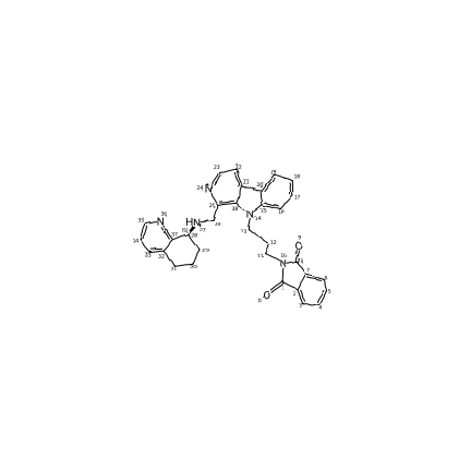 O=C1c2ccccc2C(=O)N1CCCn1c2ccccc2c2ccnc(CN[C@H]3CCCc4cccnc43)c21